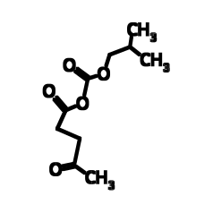 CC(=O)CCC(=O)OC(=O)OCC(C)C